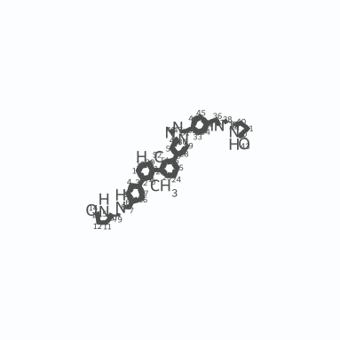 Cc1c(-c2ccc(CNC[C@@H]3CCC(=O)N3)cc2)cccc1-c1cccc(-c2ccn3c(-c4ccc(CNC[C@@H]5CCC(=O)N5)cc4)nnc3c2)c1C